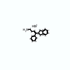 Br.NCCC=C(c1ccccc1)C1Cc2ccccc2C1